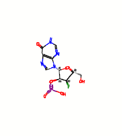 O=c1[nH]cnc2c1ncn2[C@@H]1O[C@H](CO)[C@@H](F)[C@H]1O[PH](=O)O